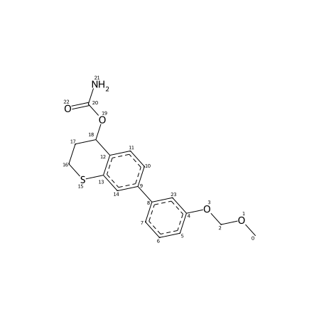 COCOc1cccc(-c2ccc3c(c2)SCCC3OC(N)=O)c1